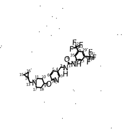 O=C(NCc1ccc(OC2CCN(CC3CC3)CC2)nc1)Nc1cc(C(F)(F)F)cc(C(F)(F)F)c1